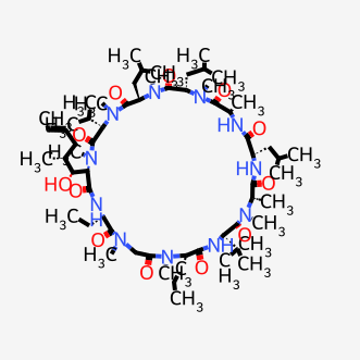 C/C=C/C[C@@H](C)[C@@H](O)[C@H]1C(=O)N[C@@H](CC)C(=O)N(C)CC(=O)N(C)[C@@H](CCC)C(=O)N[C@@H](C(C)(C)C)C(=O)N(C)[C@@H](C)C(=O)N[C@@H](CC(C)C)C(=O)N[C@H](C)C(=O)N(C)[C@@H](CC(C)C)C(=O)N(C)[C@H](CC(C)C)C(=O)N(C)[C@@H](C(C)C)C(=O)N1C